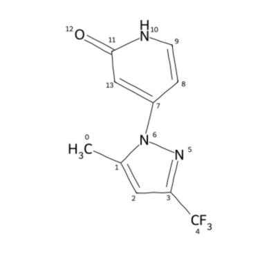 Cc1cc(C(F)(F)F)nn1-c1cc[nH]c(=O)c1